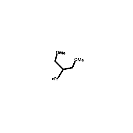 CCCC(COC)COC